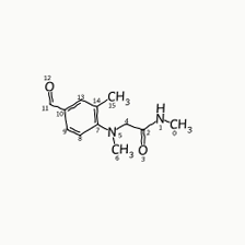 CNC(=O)CN(C)c1ccc(C=O)cc1C